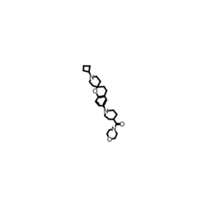 O=C(C1CCN(c2ccc3c(c2)CCC2(CCN(C4CCC4)CC2)O3)CC1)N1CCOCC1